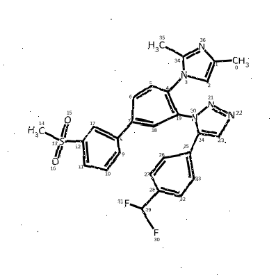 Cc1cn(-c2ccc(-c3cccc(S(C)(=O)=O)c3)cc2-n2nncc2-c2ccc(C(F)F)cc2)c(C)n1